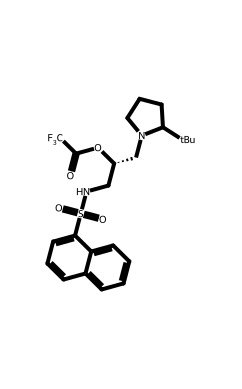 CC(C)(C)C1CCCN1C[C@H](CNS(=O)(=O)c1cccc2ccccc12)OC(=O)C(F)(F)F